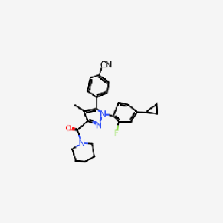 Cc1c(C(=O)N2CCCCC2)nn(-c2ccc(C3CC3)cc2F)c1-c1ccc(C#N)cc1